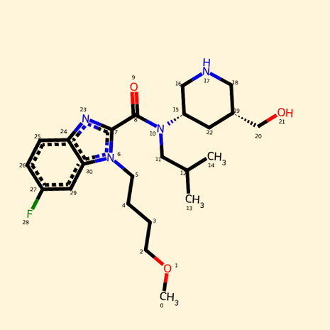 COCCCCn1c(C(=O)N(CC(C)C)[C@@H]2CNC[C@H](CO)C2)nc2ccc(F)cc21